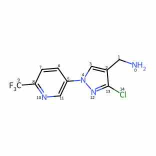 NCc1cn(-c2ccc(C(F)(F)F)nc2)nc1Cl